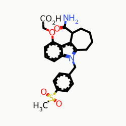 CS(=O)(=O)c1ccc(Cn2c3c(c4c(OCC(=O)O)cccc42)C(C(N)=O)CCCC3)cc1